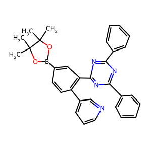 CC1(C)OB(c2ccc(-c3cccnc3)c(-c3nc(-c4ccccc4)nc(-c4ccccc4)n3)c2)OC1(C)C